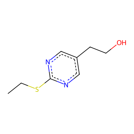 CCSc1ncc(CCO)cn1